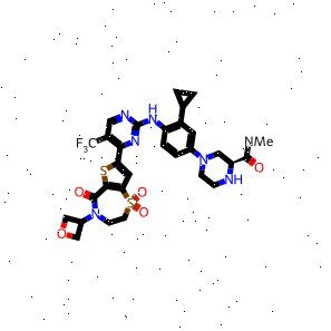 CNC(=O)[C@@H]1CN(c2ccc(Nc3ncc(C(F)(F)F)c(-c4cc5c(s4)C(=O)N(C4COC4)CCS5(=O)=O)n3)c(C3CC3)c2)CCN1